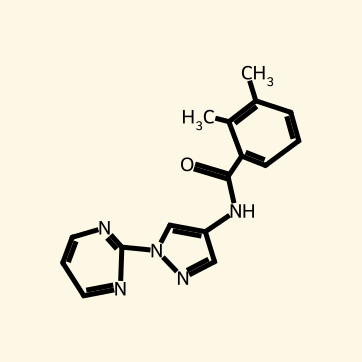 Cc1cccc(C(=O)Nc2cnn(-c3ncccn3)c2)c1C